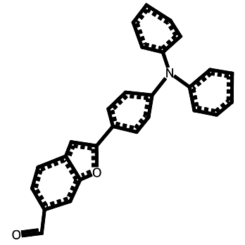 O=Cc1ccc2cc(-c3ccc(N(c4ccccc4)c4ccccc4)cc3)oc2c1